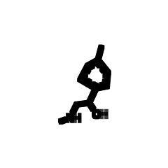 CNCC(O)c1ccc(C)cc1